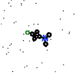 Clc1ccc([Si](c2ccccc2)(c2ccccc2)c2ccc(-c3nc(-c4ccccc4)nc(-c4ccccc4)n3)cc2)cc1